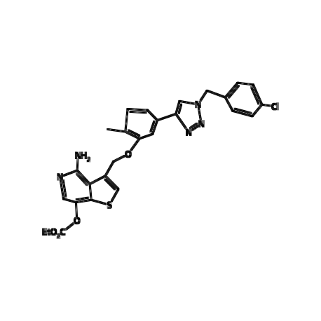 CCOC(=O)Oc1cnc(N)c2c(COc3cc(-c4cn(Cc5ccc(Cl)cc5)nn4)ccc3C)csc12